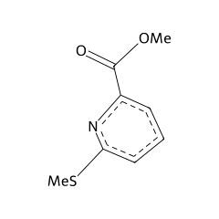 COC(=O)c1cccc(SC)n1